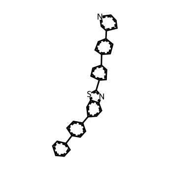 c1ccc(-c2ccc(-c3ccc4nc(-c5ccc(-c6ccc(-c7cccnc7)cc6)cc5)sc4c3)cc2)cc1